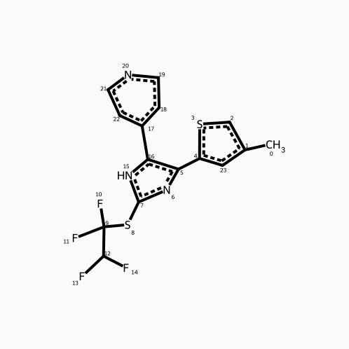 Cc1csc(-c2nc(SC(F)(F)C(F)F)[nH]c2-c2ccncc2)c1